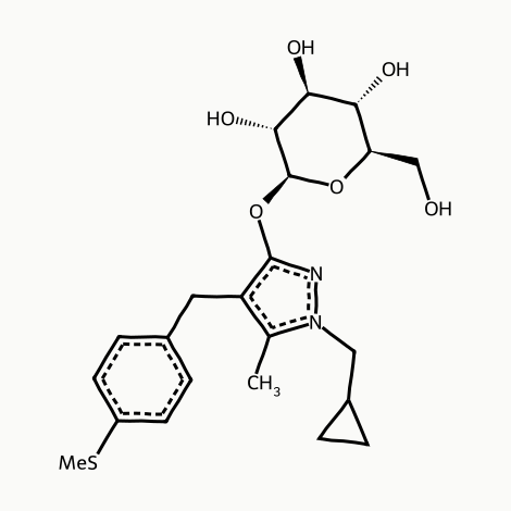 CSc1ccc(Cc2c(O[C@@H]3O[C@H](CO)[C@@H](O)[C@H](O)[C@H]3O)nn(CC3CC3)c2C)cc1